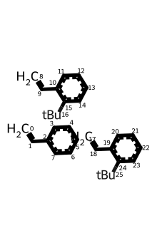 C=Cc1ccccc1.C=Cc1ccccc1C(C)(C)C.C=Cc1ccccc1C(C)(C)C